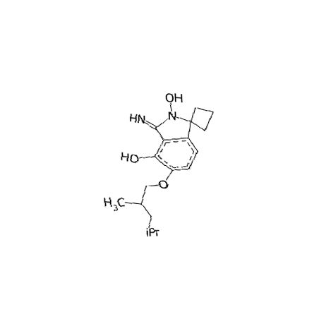 CC(C)CC(C)COc1ccc2c(c1O)C(=N)N(O)C21CCC1